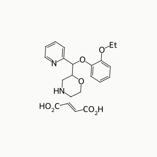 CCOc1ccccc1OC(c1ccccn1)C1CNCCO1.O=C(O)/C=C/C(=O)O